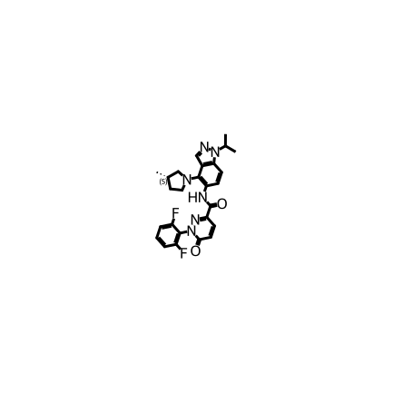 CC(C)n1ncc2c(N3CC[C@H](C)C3)c(NC(=O)c3ccc(=O)n(-c4c(F)cccc4F)n3)ccc21